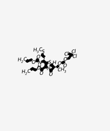 C=CCOC(=O)N[C@H](CCSC)C1=C(C(=O)OCC=C)N2C(=O)[C@H](C(C)OC(=O)OCC(Cl)(Cl)Cl)[C@H]2S1